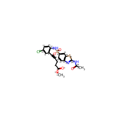 COC(=O)CCC#Cc1cc(Cl)ccc1NS(=O)(=O)c1ccc2nc(NC(C)=O)sc2c1